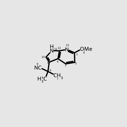 COc1ccc2c(C(C)(C)C#N)c[nH]c2n1